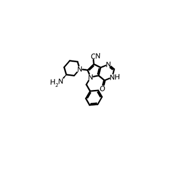 N#Cc1c(N2CCC[C@H](N)C2)n(Cc2ccccc2)c2c(=O)[nH]cnc12